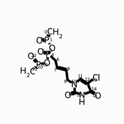 C=P(=O)OP(=O)(C/C=C/Cn1cc(Cl)c(=O)[nH]c1=O)OP(=C)=O